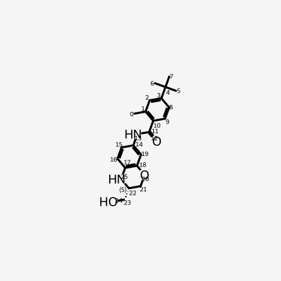 Cc1cc(C(C)(C)C)ccc1C(=O)Nc1ccc2c(c1)OC[C@H](CO)N2